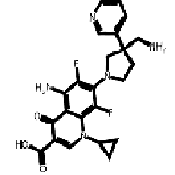 NCC1(c2cccnc2)CCN(c2c(F)c(N)c3c(=O)c(C(=O)O)cn(C4CC4)c3c2F)C1